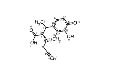 C#CCN[C@@H](C(=O)O)C(C)n1ccc(=O)c(O)c1C